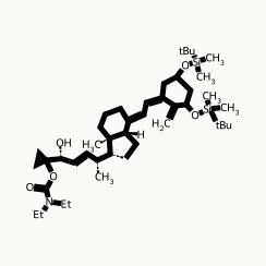 C=C1/C(=C\C=C2/CCC[C@]3(C)[C@@H]([C@H](C)/C=C/[C@@H](O)C4(OC(=O)N(CC)CC)CC4)CC[C@@H]23)CC(O[Si](C)(C)C(C)(C)C)CC1O[Si](C)(C)C(C)(C)C